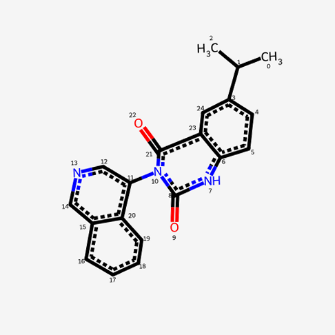 CC(C)c1ccc2[nH]c(=O)n(-c3cncc4ccccc34)c(=O)c2c1